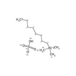 CCCCCCCC[N+](C)(C)C.O=S(=O)([O-])O